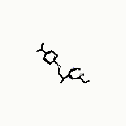 CCC(O)/C=C(\C=C/N)C(C)COc1ccc(C(C)C)cn1